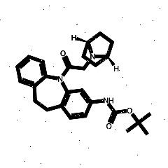 CC(C)(C)OC(=O)Nc1ccc2c(c1)N(C(=O)CN1[C@H]3CC[C@@H]1CC3)c1ccccc1CC2